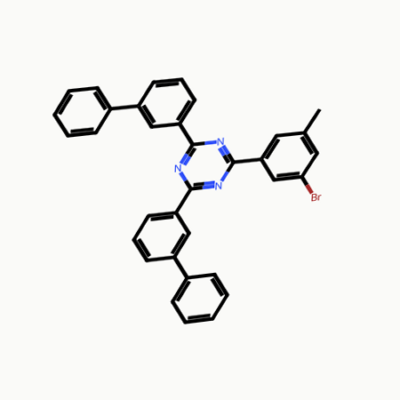 Cc1cc(Br)cc(-c2nc(-c3cccc(-c4ccccc4)c3)nc(-c3cccc(-c4ccccc4)c3)n2)c1